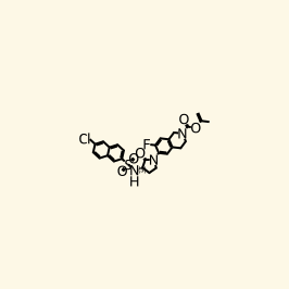 C=C(C)OC(=O)N1CCc2cc(N3CC[C@H](NS(=O)(=O)c4ccc5cc(Cl)ccc5c4)C3=O)c(F)cc2C1